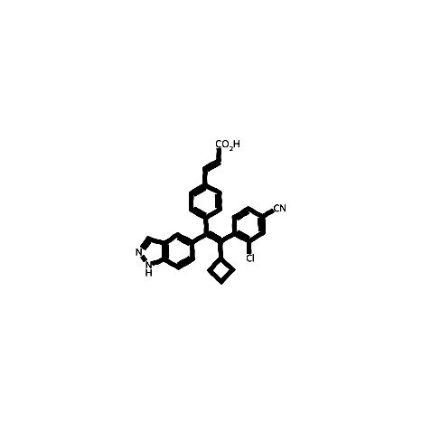 N#Cc1ccc(C(=C(c2ccc(C=CC(=O)O)cc2)c2ccc3[nH]ncc3c2)C2CCC2)c(Cl)c1